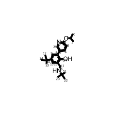 CC(C)Oc1ccc(-c2cc(C(C)(C)C)cc(CNC(C)(C)C)c2O)cn1